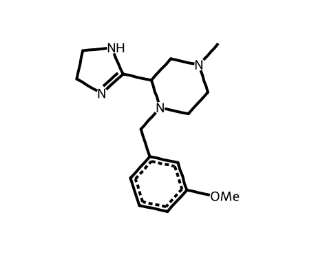 COc1cccc(CN2CCN(C)CC2C2=NCCN2)c1